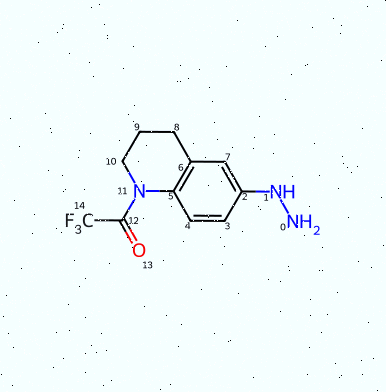 NNc1ccc2c(c1)CCCN2C(=O)C(F)(F)F